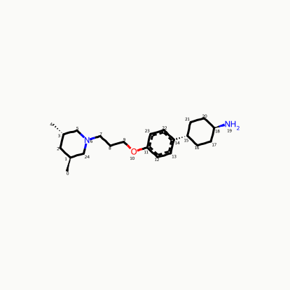 C[C@H]1C[C@H](C)CN(CCCOc2ccc([C@H]3CC[C@H](N)CC3)cc2)C1